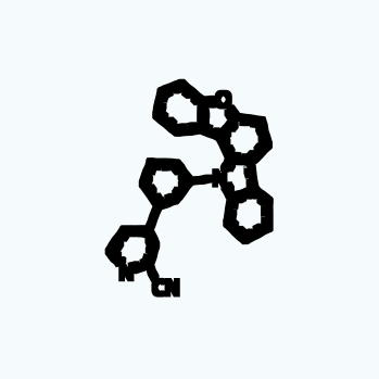 N#Cc1cc(-c2cccc(-n3c4ccccc4c4ccc5oc6ccccc6c5c43)c2)ccn1